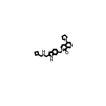 O=c1c2cncc(N3CCCC3)c2ccn1Cc1ccc2cc(CNCC3CCC3)[nH]c2c1